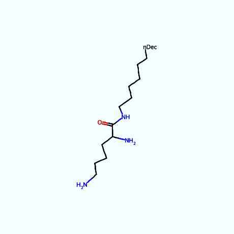 CCCCCCCCCCCCCCCCNC(=O)C(N)CCCCN